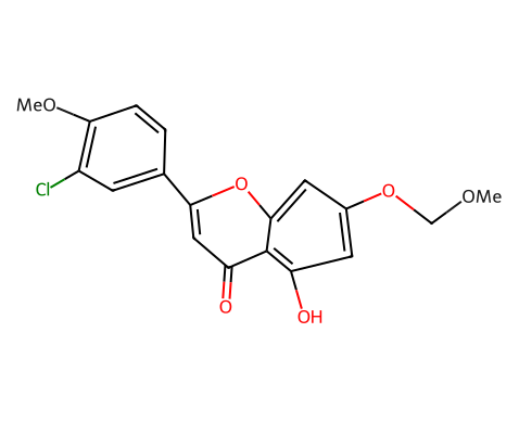 COCOc1cc(O)c2c(=O)cc(-c3ccc(OC)c(Cl)c3)oc2c1